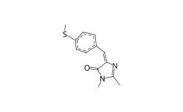 CSc1ccc(/C=C2/N=C(C)N(C)C2=O)cc1